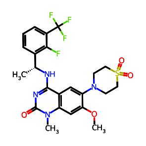 COc1cc2c(cc1N1CCS(=O)(=O)CC1)c(N[C@H](C)c1cccc(C(F)(F)F)c1F)nc(=O)n2C